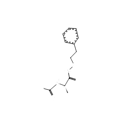 CC(=O)N[C@H](C)C(=O)NOCCc1ccccc1